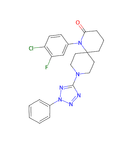 O=C1CCCC2(CCN(c3nnn(-c4ccccc4)n3)CC2)N1c1ccc(Cl)c(F)c1